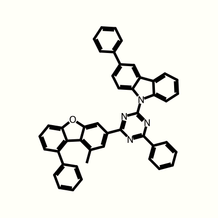 Cc1cc(-c2nc(-c3ccccc3)nc(-n3c4ccccc4c4cc(-c5ccccc5)ccc43)n2)cc2oc3cccc(-c4ccccc4)c3c12